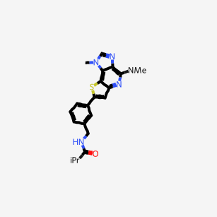 CNc1nc2cc(-c3cccc(CNC(=O)C(C)C)c3)sc2c2c1ncn2C